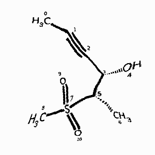 CC#C[C@H](O)[C@H](C)S(C)(=O)=O